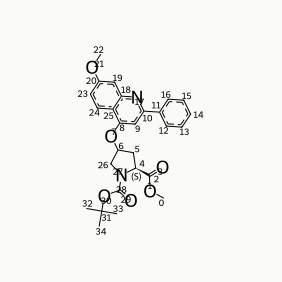 COC(=O)[C@@H]1CC(Oc2cc(-c3ccccc3)nc3cc(OC)ccc23)CN1C(=O)OC(C)(C)C